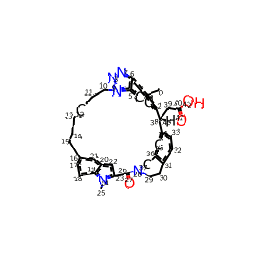 Cc1c2ccc3c1nnn3CCCCCCc1ccc3c(c1)cc(n3C)C(=O)N1CCc3ccc(cc3C1)[C@H]2CC(=O)O